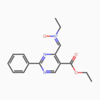 CCOC(=O)c1cnc(-c2ccccc2)nc1C=[N+]([O-])CC